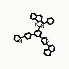 c1ccc(-c2nc(-c3cc(-c4ccc(-c5ccccn5)cc4)cc(-c4ccc(-c5cccc6ccccc56)nc4)c3)nc3c2ccc2ccccc23)cc1